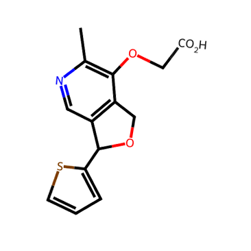 Cc1ncc2c(c1OCC(=O)O)COC2c1cccs1